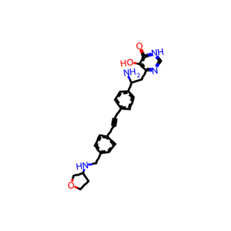 NC(Cc1nc[nH]c(=O)c1O)c1ccc(C#Cc2ccc(CNC3CCOC3)cc2)cc1